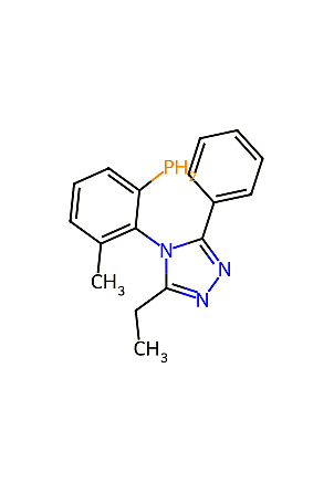 CCc1nnc(-c2ccccc2)n1-c1c(C)cccc1P